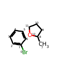 Brc1ccccc1.CC1CCCO1